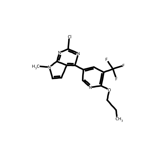 CCCOc1ncc(-c2nc(Cl)nc3c2ccn3C)cc1C(F)(F)F